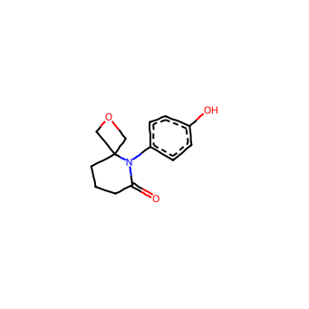 O=C1CCCC2(COC2)N1c1ccc(O)cc1